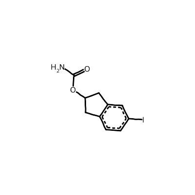 NC(=O)OC1Cc2ccc(I)cc2C1